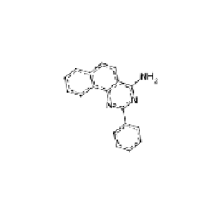 Nc1nc(-c2ccccc2)nc2c1ccc1ccccc12